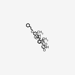 C[C@@H]1C[C@H](OCCCC2CCCCC2)C[C@H](C)N1CC(=O)Nc1cccc2c(N3CCC(=O)NC3=O)nn(C)c12